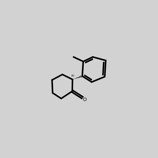 Cc1ccccc1[C@H]1CCCCC1=O